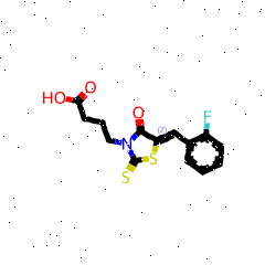 O=C(O)CCCN1C(=O)/C(=C/c2ccccc2F)SC1=S